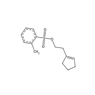 Cc1ccccc1S(=O)(=O)OCCC1=CCCC1